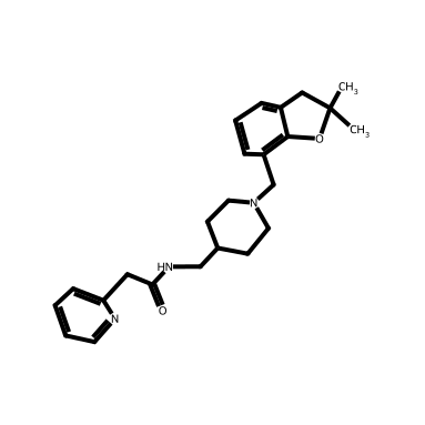 CC1(C)Cc2cccc(CN3CCC(CNC(=O)Cc4ccccn4)CC3)c2O1